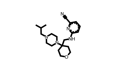 CC(C)CN1CCN(C2(CNc3cccc(C#N)n3)CCOCC2)CC1